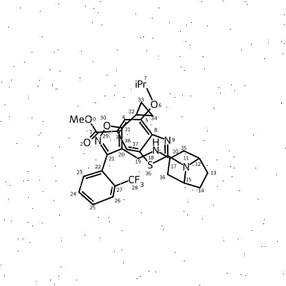 COC(=O)c1cc(OC(C)C)c2nc(N3C4CCC3CC(NCc3c(-c5ccccc5C(F)(F)F)noc3C3CC3)C4)sc2c1